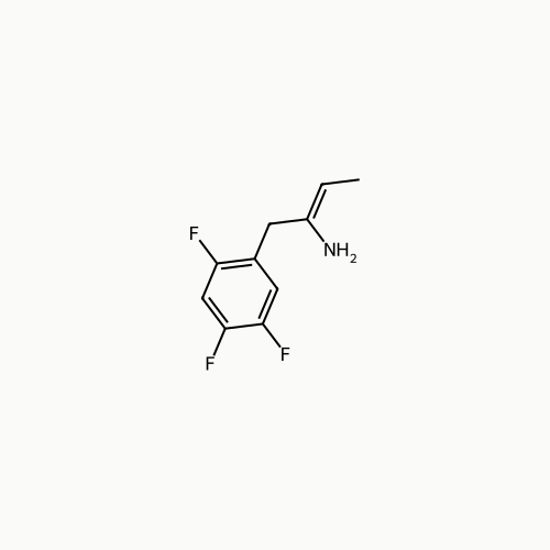 CC=C(N)Cc1cc(F)c(F)cc1F